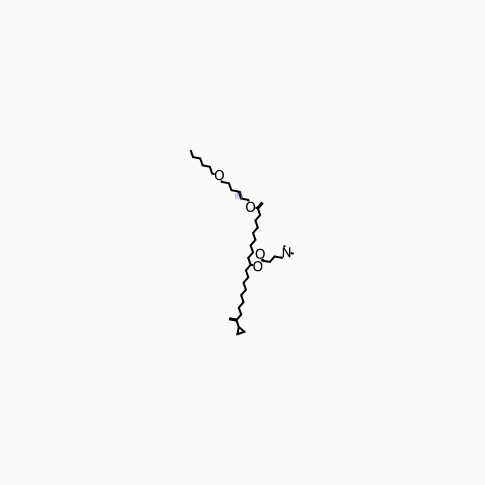 C=C(CCCCCCCCC(CCCCCCCCC(=C)C1CC1)OC(=O)CCCN(C)C)OC/C=C/CCCOCCCCCC